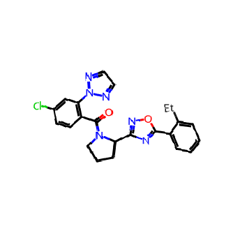 CCc1ccccc1-c1nc(C2CCCN2C(=O)c2ccc(Cl)cc2-n2nccn2)no1